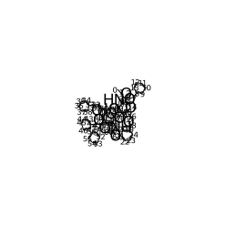 CC(=O)N[C@H]1[C@@H](OCc2ccccc2)O[C@H](COCc2ccccc2)[C@@H](O[C@@H]2O[C@H](COCc3ccccc3)[C@@H](OCc3ccccc3)[C@H](OCc3ccccc3)[C@H]2NC(C)=O)[C@@H]1O